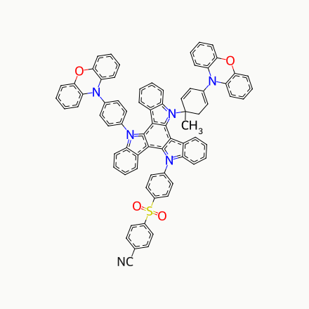 CC1(n2c3ccccc3c3c4c(c5ccccc5n4-c4ccc(N5c6ccccc6Oc6ccccc65)cc4)c4c(c5ccccc5n4-c4ccc(S(=O)(=O)c5ccc(C#N)cc5)cc4)c32)C=CC(N2c3ccccc3Oc3ccccc32)=CC1